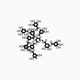 Cc1c(O)cc(C(=O)Oc2cc(C(=O)O[C@H]3O[C@H](COC(=O)c4cc(O)c(O)c(OC(=O)c5cc(O)c(O)c(O)c5)c4)[C@@H](OC(=O)c4cc(O)c(O)c(OC(=O)c5cc(O)c(O)c(O)c5)c4)[C@H](OC(=O)c4cc(O)c(O)c(OC(=O)c5cc(O)c(O)c(O)c5)c4)[C@H]3OC(=O)c3cc(O)c(O)c(OC(=O)c4cc(O)c(O)c(O)c4)c3)cc(O)c2O)cc1O